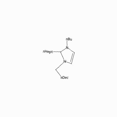 CCCCCCCCCCCN1C=CN(CCCC)C1CCCCCCC